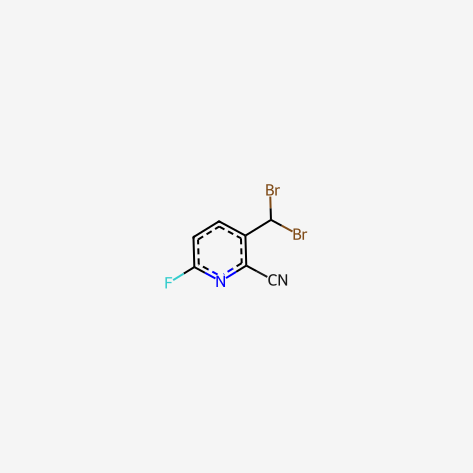 N#Cc1nc(F)ccc1C(Br)Br